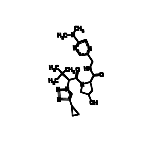 CN(C)c1cnc(CNC(=O)C2CC(O)CN2C(=O)[C@@H](n2cc(C3CC3)nn2)C(C)(C)C)cn1